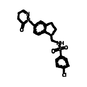 O=C1CCC=NN1c1ccc2c(c1)CCC2CNS(=O)(=O)c1ccc(Cl)cc1